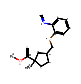 C=Nc1ccccc1SCC1CCC(CCC)(C(=C)OCC)C1